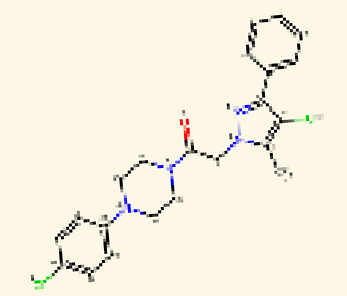 O=C(Cn1nc(-c2ccccc2)c(Cl)c1C(F)(F)F)N1CCN(c2ccc(Cl)cc2)CC1